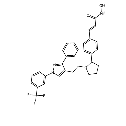 O=C(C=Cc1ccc(C2CCCN2CCc2cn(-c3cccc(C(F)(F)F)c3)nc2-c2ccccc2)cc1)NO